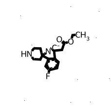 [C-]#[N+]C1(c2cc(F)ccc2CCC(=O)OCC)CCNCC1